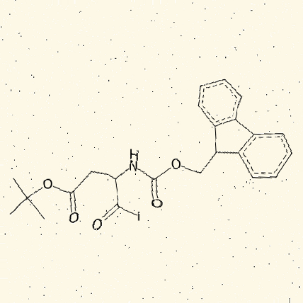 CC(C)(C)OC(=O)CC(NC(=O)OCC1c2ccccc2-c2ccccc21)C(=O)I